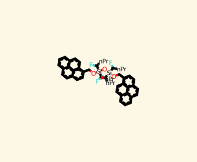 CCCC(F)[Si](OCc1ccc2ccc3cccc4ccc1c2c34)(O[Si](OCc1ccc2ccc3cccc4ccc1c2c34)(C(F)CCC)C(F)CCC)C(F)CCC